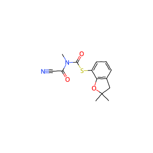 CN(C(=O)C#N)C(=O)Sc1cccc2c1OC(C)(C)C2